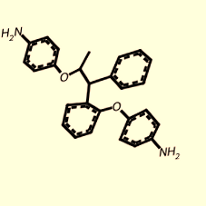 CC(Oc1ccc(N)cc1)C(c1ccccc1)c1ccccc1Oc1ccc(N)cc1